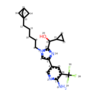 Nc1ncc(-c2cn(CCCCCC34CC(C3)C4)c(C(O)C3CC3)n2)cc1C(F)(F)F